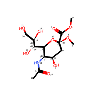 COC(=O)[C@]1(OC)C[C@@H](O)[C@@H](NC(C)=O)C([C@H](O)[C@H](O)CO)O1